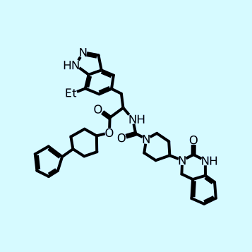 CCc1cc(CC(NC(=O)N2CCC(N3Cc4ccccc4NC3=O)CC2)C(=O)OC2CCC(c3ccccc3)CC2)cc2cn[nH]c12